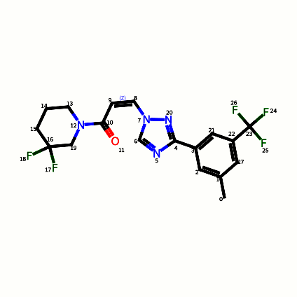 Cc1cc(-c2ncn(/C=C\C(=O)N3CCCC(F)(F)C3)n2)cc(C(F)(F)F)c1